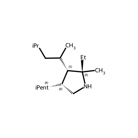 CCC[C@@H](C)[C@H]1CN[C@](C)(CC)[C@H]1C(C)CC(C)C